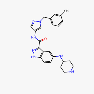 N#Cc1cccc(Cn2cc(NC(=O)c3n[nH]c4ccc(NC5CCNCC5)cc34)cn2)c1